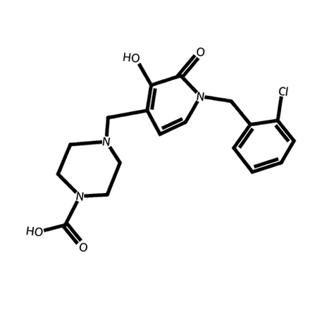 O=C(O)N1CCN(Cc2ccn(Cc3ccccc3Cl)c(=O)c2O)CC1